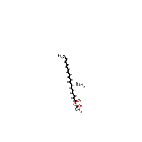 CCCCCCCCCCCCCCCCCC(=O)OC(C)=O.[BaH2]